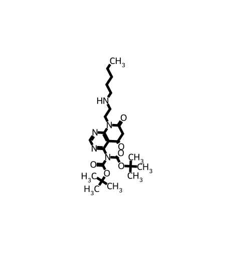 CCCCCNCCN1C(=O)CC(=O)c2c1ncnc2N(C(=O)OC(C)(C)C)C(=O)OC(C)(C)C